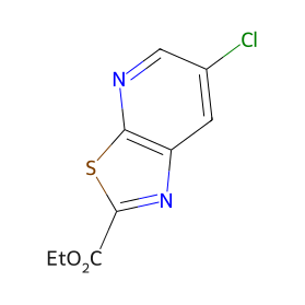 CCOC(=O)c1nc2cc(Cl)cnc2s1